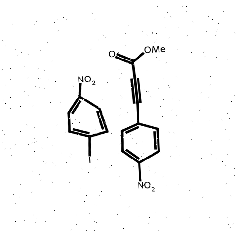 COC(=O)C#Cc1ccc([N+](=O)[O-])cc1.O=[N+]([O-])c1ccc(I)cc1